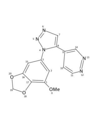 COc1cc(-n2nncc2-c2ccnnc2)cc2c1OCO2